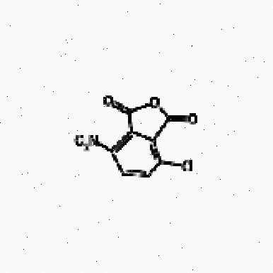 O=C1OC(=O)c2c([N+](=O)[O-])ccc(Cl)c21